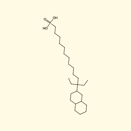 CCC(CC)(CCCCCCCCCCCP(=O)(O)O)C1CCC2CCCCC2C1